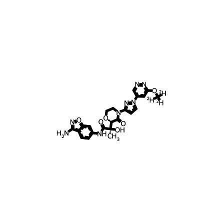 [2H]C([2H])([2H])Oc1cc(-n2ccc(N3CCO[C@H]([C@@](C)(O)C(=O)Nc4ccc5c(N)noc5c4)C3=O)n2)cnn1